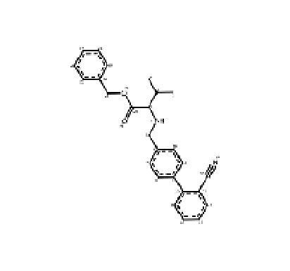 CC(C)C(NCc1ccc(-c2ccccc2C#N)cc1)C(=O)OCc1ccccc1